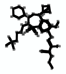 CCOC(=O)/C(F)=C/Oc1cc2c(cc1SC)N(C13CC(C1)C3)C[C@@H](C1CCCCC1)N(COCC[Si](C)(C)C)S2(=O)=O